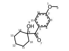 COc1ccc(C(=O)C2(O)CCCCC2)cc1